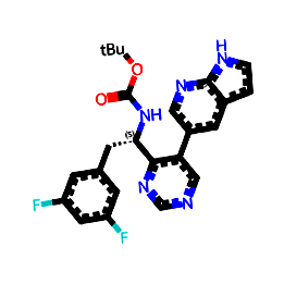 CC(C)(C)OC(=O)N[C@@H](Cc1cc(F)cc(F)c1)c1ncncc1-c1cnc2[nH]ccc2c1